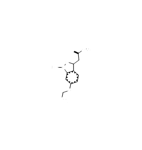 COC(=O)CC1OB(O)c2cc(OCC(=O)O)ccc21